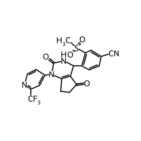 CS(=O)(=O)c1cc(C#N)ccc1C1NC(=O)N(c2ccnc(C(F)(F)F)c2)C2=C1C(=O)CC2